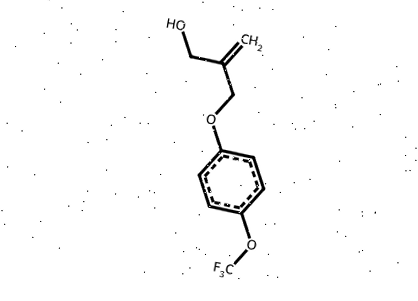 C=C(CO)COc1ccc(OC(F)(F)F)cc1